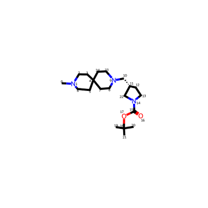 CN1CCC2(CC1)CCN(C[C@@H]1CCN(C(=O)OC(C)(C)C)C1)CC2